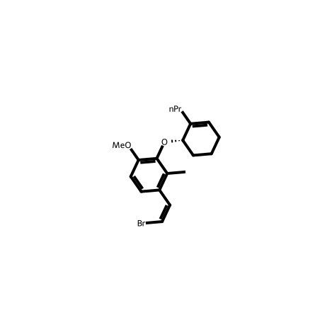 CCCC1=CCCC[C@@H]1Oc1c(OC)ccc(/C=C\Br)c1C